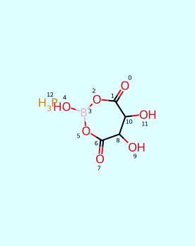 O=C1OB(O)OC(=O)C(O)C1O.P